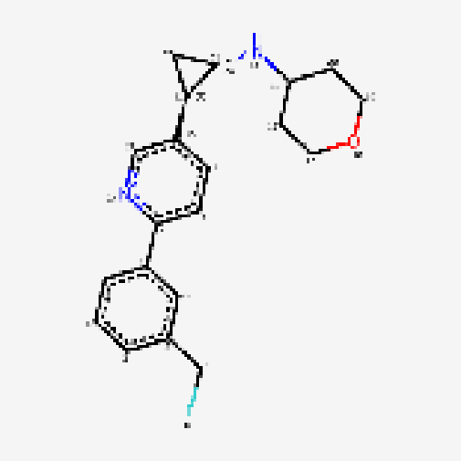 FCc1cccc(-c2ccc([C@H]3C[C@@H]3NC3CCOCC3)cn2)c1